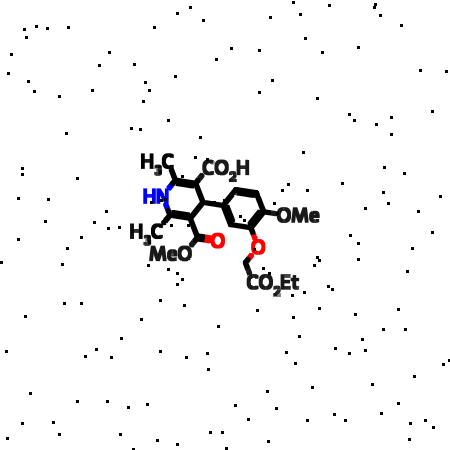 CCOC(=O)COc1cc(C2C(C(=O)O)=C(C)NC(C)=C2C(=O)OC)ccc1OC